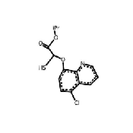 CC(C)OC(=O)C(S)Oc1ccc(Cl)c2cccnc12